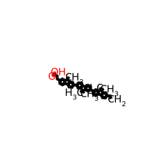 C=Cc1ccc2c(c1)C(C)(C)c1cc(-c3ccc4c(c3)C(C)(C)c3cc(-c5ccc6c(c5)C(C)c5cc(CCC(=O)O)ccc5-6)ccc3-4)ccc1-2